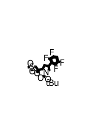 CC(C)(C)OC(=O)N1CC(c2c(F)c(F)cc(F)c2F)CC1C(=O)CS(C)(=O)=O